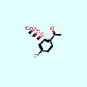 CC(=O)c1ccc(Cl)cc1.[C]=O.[C]=O.[C]=O.[Cr]